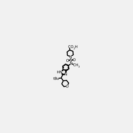 CN(c1ccc2[nH]c(C(C3CCOCC3)C(C)(C)C)nc2c1)S(=O)(=O)N1CCC(C(=O)O)CC1